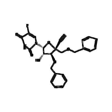 C#C[C@]1(COCc2ccccc2)O[C@@H](n2cc(F)c(=O)[nH]c2=O)[C@@H](O)[C@@H]1OCc1ccccc1